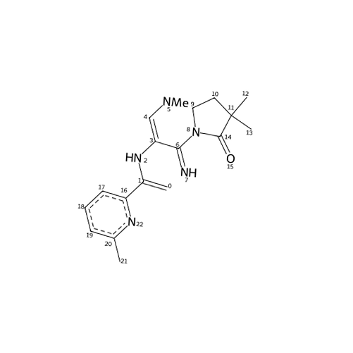 C=C(N/C(=C/NC)C(=N)N1CCC(C)(C)C1=O)c1cccc(C)n1